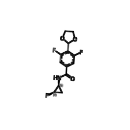 O=C(N[C@H]1C[C@H]1F)c1cc(F)c(C2OCCO2)c(F)c1